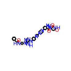 O=C1CC[C@H](n2nnc3ccc(N4CCN(C5CN(c6ccc(Nc7ncnc8c7ncn8C7CC(NC(=O)Cc8ccccc8)C7)cc6)C5)CC4)cc3c2=O)C(=O)N1